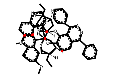 CC[C@H]1CN2CC[C@H]1C[C@H]2[C@H](Oc1ccc2c(-c3ccccc3)nnc(-c3ccccc3)c2c1O[C@H](c1ccnc2ccc(OC)cc12)[C@@H]1C[C@@H]2CCN1C[C@@H]2CC)c1ccnc2ccc(OC)cc12